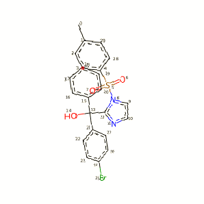 Cc1ccc(S(=O)(=O)n2ccnc2C(O)(c2ccccc2)c2ccc(Br)cc2)cc1